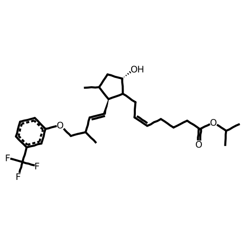 CC(/C=C/[C@H]1C(C)C[C@H](O)C1C/C=C\CCCC(=O)OC(C)C)COc1cccc(C(F)(F)F)c1